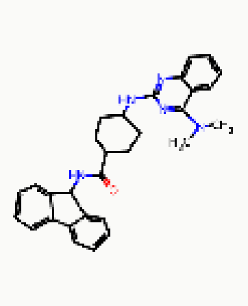 CN(C)c1nc(NC2CCC(C(=O)NC3c4ccccc4-c4ccccc43)CC2)nc2ccccc12